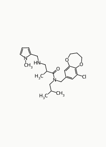 CC(C)CN(Cc1cc(Cl)c2c(c1)OCCCO2)C(=O)C(C)CNCc1cccn1C